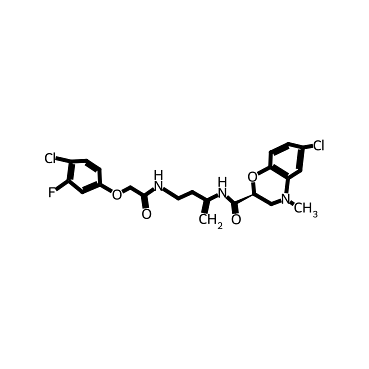 C=C(CCNC(=O)COc1ccc(Cl)c(F)c1)NC(=O)[C@@H]1CN(C)c2cc(Cl)ccc2O1